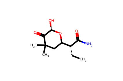 CC[C@@H](C(N)=O)C1CC(C)(C)C(=O)[C@@H](O)O1